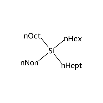 CCCCCCCCC[Si](CCCCCC)(CCCCCCC)CCCCCCCC